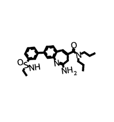 CCCN(CCC)C(=O)C1=Cc2ccc(-c3cccc(S(=N)(=O)CC)c3)cc2N=C(N)C1